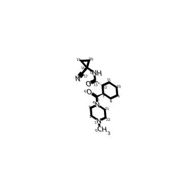 CN1CCN(C(=O)[C@@H]2CCCC[C@H]2C(=O)NC2(C#N)CC2)CC1